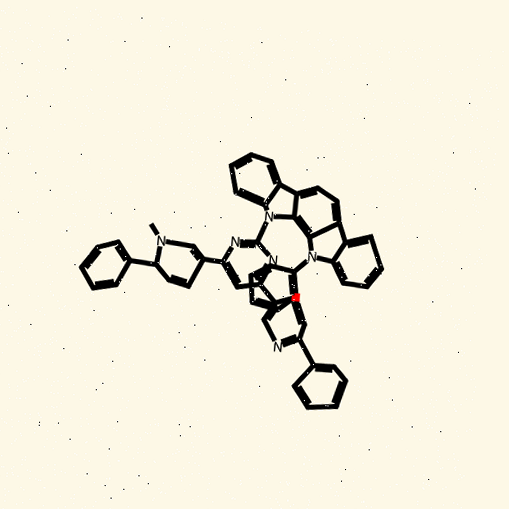 CN1C=C(c2cc(-c3ccc(-c4ccccc4)nc3)nc(-n3c4ccccc4c4ccc5c6ccccc6n(-c6ccccc6)c5c43)n2)C=CC1c1ccccc1